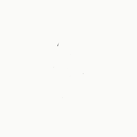 CC(C)[C@@]1(OC2C3CC4C2OC(O)C4(C(=O)OC(C(F)(F)F)C(F)(F)F)C3)CO1